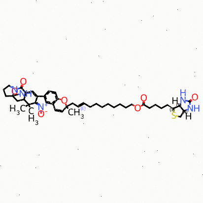 CC1(C/C=C/CCCCCCCCOC(=O)CCCC[C@@H]2SC[C@@H]3NC(=O)N[C@@H]32)C=Cc2c(ccc3c2[N+]([O-])=C2C3=CC34NC(=O)C5(CCCN5C3=O)CC4C2(C)C)O1